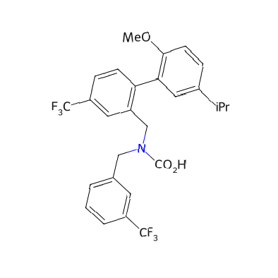 COc1ccc(C(C)C)cc1-c1ccc(C(F)(F)F)cc1CN(Cc1cccc(C(F)(F)F)c1)C(=O)O